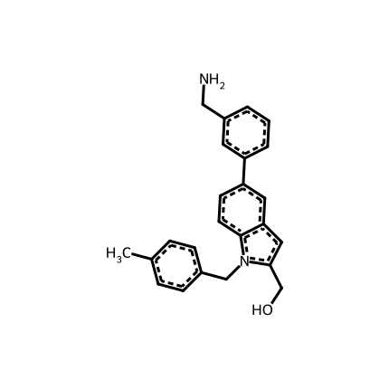 Cc1ccc(Cn2c(CO)cc3cc(-c4cccc(CN)c4)ccc32)cc1